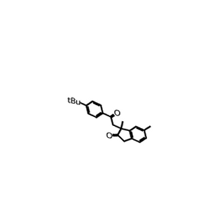 Cc1ccc2c(c1)C(C)(CC(=O)c1ccc(C(C)(C)C)cc1)C(=O)C2